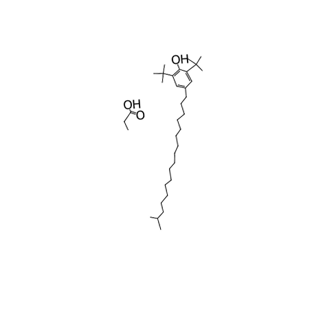 CC(C)CCCCCCCCCCCCCCCc1cc(C(C)(C)C)c(O)c(C(C)(C)C)c1.CCC(=O)O